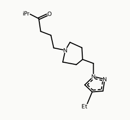 CCc1cnn(CC2CCN(CCCC(=O)C(C)C)CC2)c1